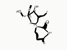 C=N[C@]1(CO)O[C@@H](n2ccc(=O)[nH]c2=O)C(CF)[C@@H]1O